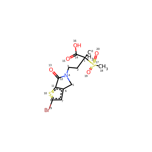 C[C@@](CCN1Cc2cc(Br)sc2C1=O)(C(=O)O)S(C)(=O)=O